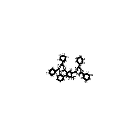 Fc1cc(-c2ccccc2)c(-c2nc(-c3ccccc3)nc(-c3ccccc3)n2)cc1-c1nc(-c2ccccc2)nc(-c2ccccc2)n1